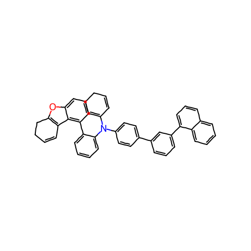 C1=CC(N(c2ccc(-c3cccc(-c4cccc5ccccc45)c3)cc2)c2ccccc2-c2cccc3oc4c(c23)C=CCC4)=CCC1